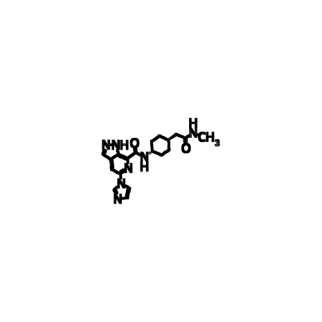 CNC(=O)C[C@H]1CC[C@H](NC(=O)c2nc(-n3ccnc3)cc3cn[nH]c23)CC1